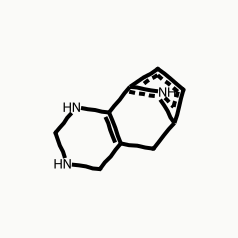 c1cc2[nH]c1CC1=C2NCNC1